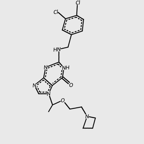 CC(OCCN1CCC1)n1cnc2nc(NCc3ccc(Cl)c(Cl)c3)[nH]c(=O)c21